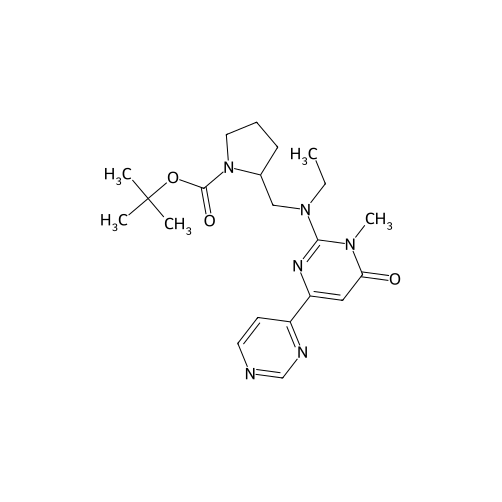 CCN(CC1CCCN1C(=O)OC(C)(C)C)c1nc(-c2ccncn2)cc(=O)n1C